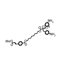 COC(=O)C=Cc1ccc(C(=O)OCCCCCCCCOC(=O)C(Cc2ccc(N)cc2)(Cc2ccc(N)cc2)C(=O)O)cc1